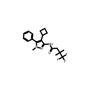 Cn1nc(NC(=O)CC(C)(C)C(F)(F)F)c(C2CCC2)c1-c1ccccc1